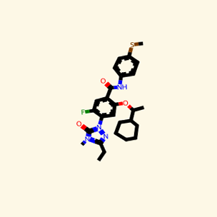 CCc1nn(-c2cc(OC(C)C3CCCCC3)c(C(=O)Nc3ccc(SC)cc3)cc2F)c(=O)n1C